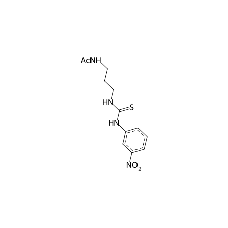 CC(=O)NCCCNC(=S)Nc1cccc([N+](=O)[O-])c1